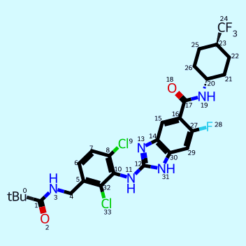 CC(C)(C)C(=O)NCc1ccc(Cl)c(Nc2nc3cc(C(=O)N[C@H]4CC[C@H](C(F)(F)F)CC4)c(F)cc3[nH]2)c1Cl